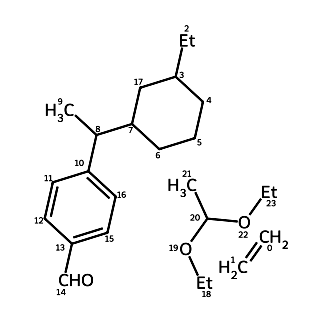 C=C.CCC1CCCC(C(C)c2ccc(C=O)cc2)C1.CCOC(C)OCC